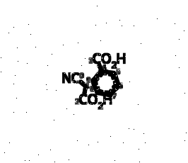 N#CCC(=O)O.O=C(O)c1ccccc1